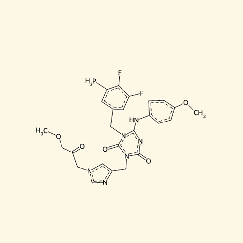 COCC(=O)Cn1cnc(Cn2c(=O)nc(Nc3ccc(OC)cc3)n(Cc3cc(F)c(F)c(P)c3)c2=O)c1